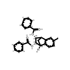 Cc1ccc2c(c1)C1C[C@H]2[C@H](OC(=O)c2ccccc2)[C@@H]1OC(=O)c1ccccc1